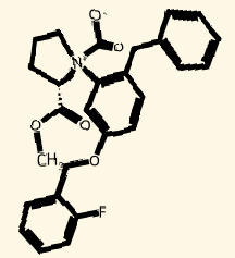 COC(=O)[C@@H]1CCC[N+]1(C(=O)[O-])c1cc(OCc2ccccc2F)ccc1Cc1ccccc1